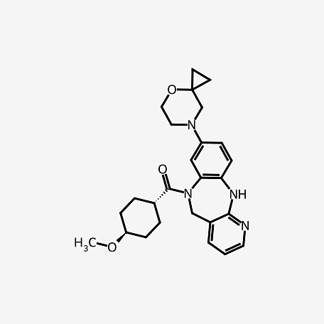 CO[C@H]1CC[C@H](C(=O)N2Cc3cccnc3Nc3ccc(N4CCOC5(CC5)C4)cc32)CC1